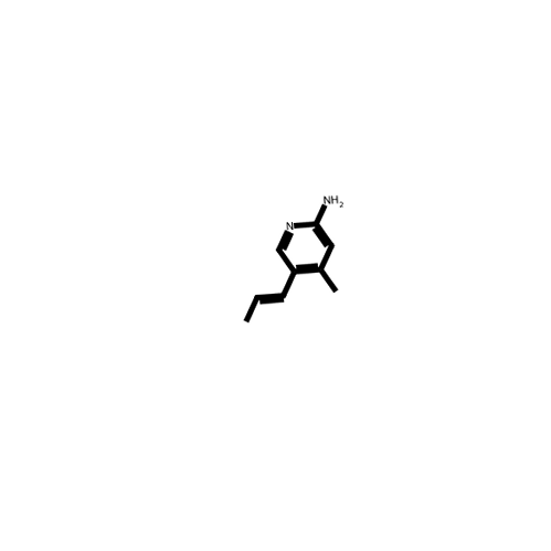 C/C=C/c1cnc(N)cc1C